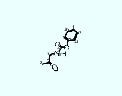 CC(=O)CNC(=O)Oc1ccccc1